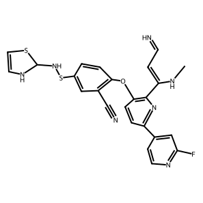 CN/C(=C\C=N)c1nc(-c2ccnc(F)c2)ccc1Oc1ccc(SNC2NC=CS2)cc1C#N